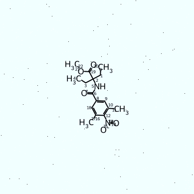 CCC(CC)(NC(=O)c1cc(C)c([N+](=O)[O-])c(C)c1)C(=O)OC